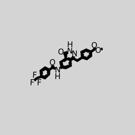 COC(=O)c1ccc(Cc2n[nH]c(=O)c3cc(NC(=O)c4ccc(C(F)(F)F)cc4)ccc23)cc1